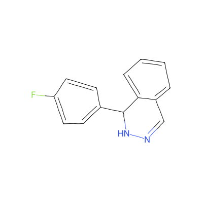 Fc1ccc(C2NN=Cc3ccccc32)cc1